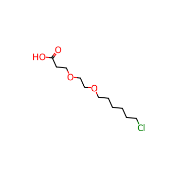 O=C(O)CCOCCOCCCCCCCl